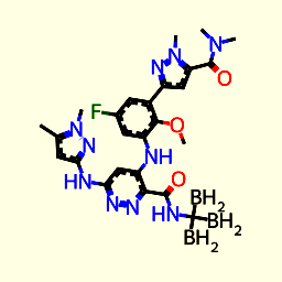 BC(B)(B)NC(=O)c1nnc(Nc2cc(C)n(C)n2)cc1Nc1cc(F)cc(-c2cc(C(=O)N(C)C)n(C)n2)c1OC